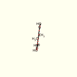 C/C(=C\CC/C=C(\C)CCCCCCC(=O)NCCOCCO)CCCCCCCCOCCCO